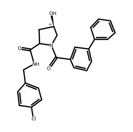 O=C(NCc1ccc(Cl)cc1)C1C[C@@H](O)CN1C(=O)c1cccc(-c2ccccc2)c1